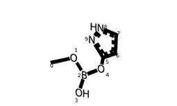 COB(O)Oc1cc[nH]n1